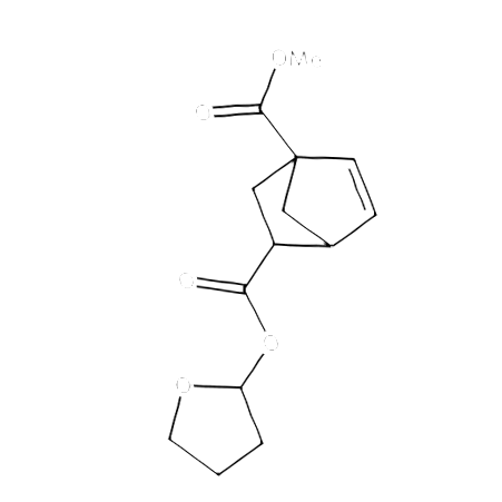 COC(=O)C12C=CC(C1)C(C(=O)OC1CCCO1)C2